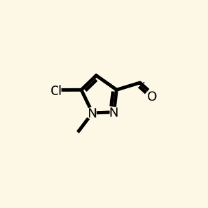 Cn1nc([C]=O)cc1Cl